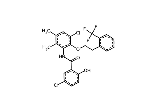 Cc1cc(Cl)c(OCCc2ccccc2C(F)(F)F)c(NC(=O)c2cc(Cl)ccc2O)c1C